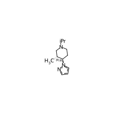 CC(C)N1CC[C@@H](n2cccn2)[C@H](C)C1